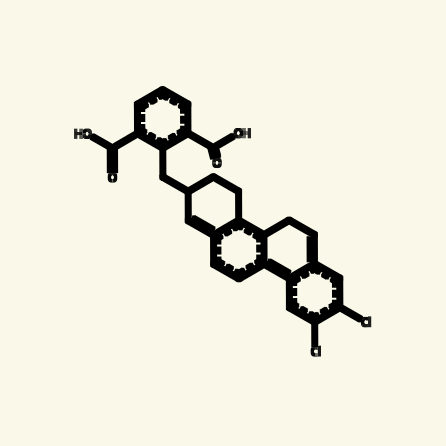 O=C(O)c1cccc(C(=O)O)c1CC1C=c2ccc3c(c2CC1)CC=c1cc(Cl)c(Cl)cc1=3